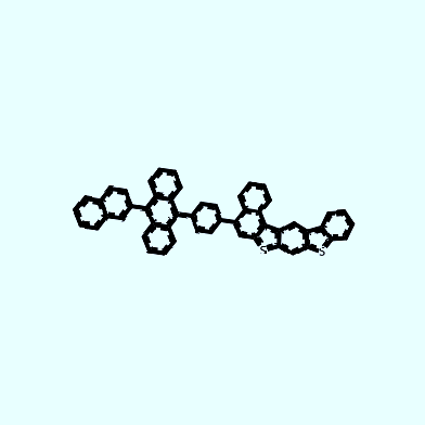 c1ccc2cc(-c3c4ccccc4c(-c4ccc(-c5cc6sc7cc8sc9ccccc9c8cc7c6c6ccccc56)cc4)c4ccccc34)ccc2c1